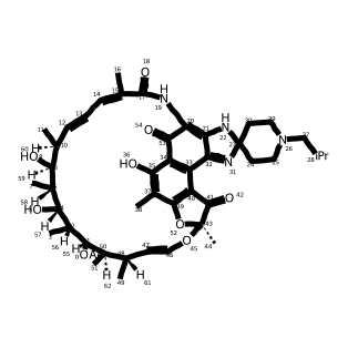 CC(=O)O[C@H]1[C@H](C)[C@H](O)[C@H](C)[C@@H](O)[C@@H](C)/C=C/C=C(/C)C(=O)NC2=C3NC4(CCN(CC(C)C)CC4)N=C3c3c(c(O)c(C)c4c3C(=O)[C@@](C)(O/C=C/[C@H](C)[C@H]1C)O4)C2=O